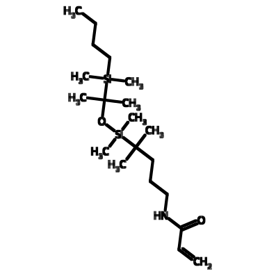 C=CC(=O)NCCCC(C)(C)[Si](C)(C)OC(C)(C)[Si](C)(C)CCCC